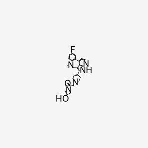 CN1Cc2c(C3=CCN(CC(=O)N4CC(O)C4)CC3)[nH]c3nccc(c23)-c2cc(F)ccc21